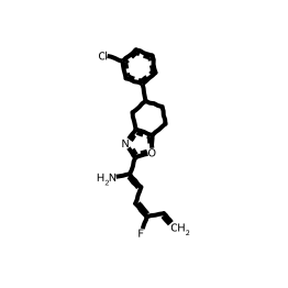 C=C/C(F)=C\C=C(/N)c1nc2c(o1)CCC(c1cccc(Cl)c1)C2